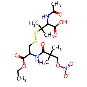 CCOC(=O)C(CSSC(C)(C)C(NC(C)=O)C(=O)O)NC(=O)C(C)(C)CO[N+](=O)[O-]